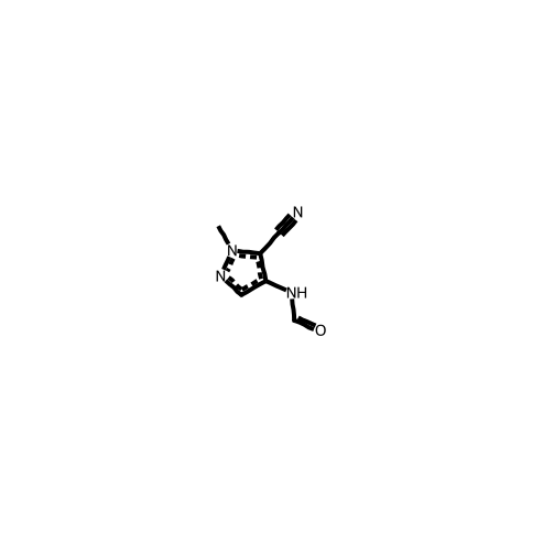 Cn1ncc(NC=O)c1C#N